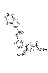 COC(=O)c1cc(-c2csc(NC(=O)c3ccc4ccccc4c3)n2)c(SC)s1